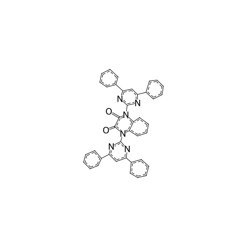 O=c1c(=O)n(-c2nc(-c3ccccc3)cc(-c3ccccc3)n2)c2ccccc2n1-c1nc(-c2ccccc2)cc(-c2ccccc2)n1